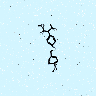 COC(=O)C(C(C)=O)c1ccc(OCc2ccc(OC)cc2)cc1